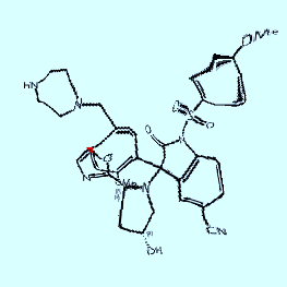 COc1ccc(S(=O)(=O)N2C(=O)C(c3cc(CN4CCNCC4)ccc3OC)(N3C[C@H](O)C[C@H]3c3ncco3)c3cc(C#N)ccc32)cc1